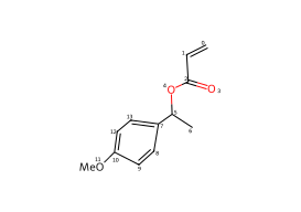 C=CC(=O)OC(C)c1ccc(OC)cc1